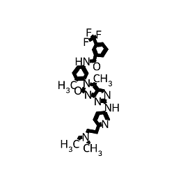 CCN(CC)CCc1ccc(Nc2ncc3c(C)n(-c4cc(NC(=O)c5cccc(C(F)(F)F)c5)ccc4C)c(=O)nc3n2)cn1